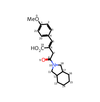 COc1ccc(/C=C(/CC(=O)N2CC3CCCCC3C2)C(=O)O)cc1